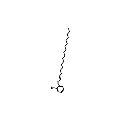 CCCCCCCCCCCCCCCCC=COc1ccccc1Br